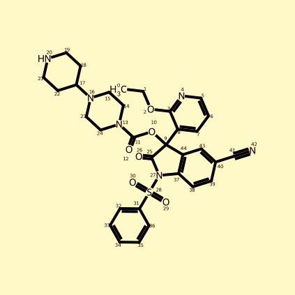 CCOc1ncccc1C1(OC(=O)N2CCN(C3CCNCC3)CC2)C(=O)N(S(=O)(=O)c2ccccc2)c2ccc(C#N)cc21